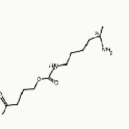 CC(=O)CCCOC(=O)NCCCC[C@@H](C)N